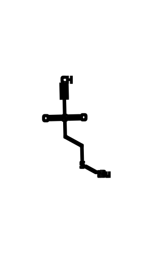 C#CS(=O)(=O)CCSC(C)(C)C